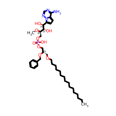 CCCCCCCCCCCCCCCCOC[C@@H](COP(=O)(O)OC[C@@H](OC)[C@@H](O)[C@@H](O)c1ccc2c(N)ncnn12)OCc1ccccc1